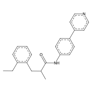 CCc1ccccc1CC(C)C(=O)Nc1ccc(-c2ccncc2)cc1